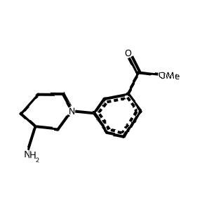 COC(=O)c1cccc(N2CCCC(N)C2)c1